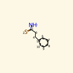 [NH]C(=S)CCc1ccccc1